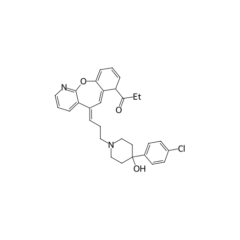 CCC(=O)C1C=CC=C2Oc3ncccc3C(=CCCN3CCC(O)(c4ccc(Cl)cc4)CC3)C=C21